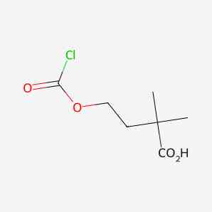 CC(C)(CCOC(=O)Cl)C(=O)O